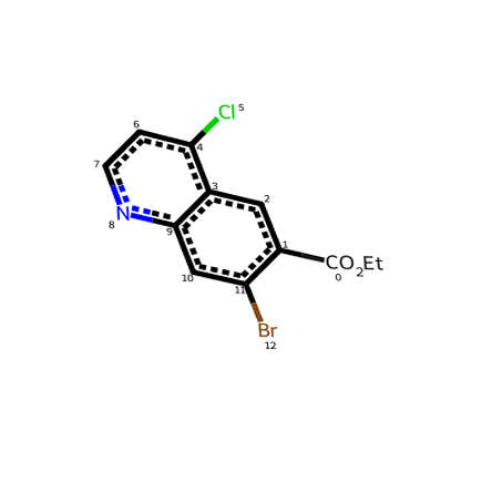 CCOC(=O)c1cc2c(Cl)ccnc2cc1Br